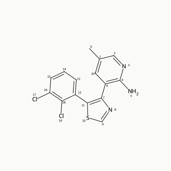 Cc1cnc(N)c(-c2ncsc2-c2cccc(Cl)c2Cl)c1